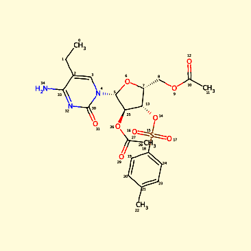 CCc1cn([C@@H]2O[C@H](COC(C)=O)[C@H](OS(=O)(=O)c3ccc(C)cc3)[C@H]2OC(C)=O)c(=O)nc1N